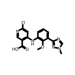 COc1c(Nc2cc(Cl)ncc2C(=O)O)cccc1-c1ncn(C)n1